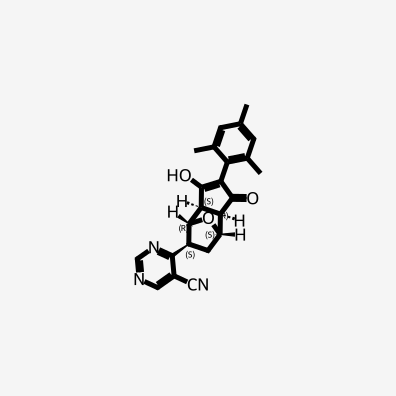 Cc1cc(C)c(C2=C(O)[C@@H]3[C@@H]4O[C@@H](C[C@H]4c4ncncc4C#N)[C@@H]3C2=O)c(C)c1